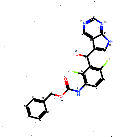 O=C(Nc1ccc(F)c(C(O)c2c[nH]c3ncncc23)c1F)OCc1ccccc1